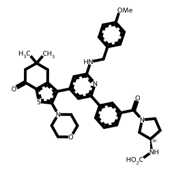 COc1ccc(CNc2cc(-c3c(N4CCOCC4)sc4c3CC(C)(C)CC4=O)cc(-c3cccc(C(=O)N4CC[C@@H](NC(=O)O)C4)c3)n2)cc1